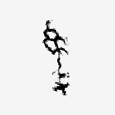 CC(C)(C)OC(=O)NCCOC1(CI)CCCc2cc(Br)cc(Cl)c21